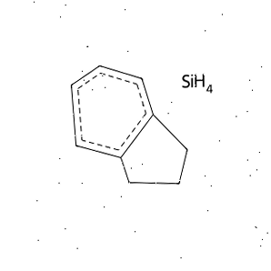 [SiH4].c1ccc2c(c1)CCC2